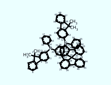 CC1(C)c2ccccc2-c2ccc(N(c3ccccc3)c3cc(-c4cccc5c4C4(c6ccccc6-c6ccccc64)c4ccccc4-5)cc(N(c4ccccc4)c4ccc5c(c4)C(C)(C)c4ccccc4-5)c3)cc21